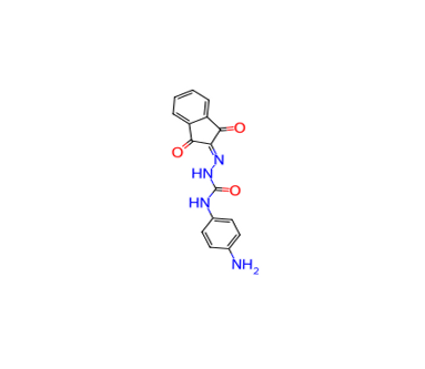 Nc1ccc(NC(=O)NN=c2c(=O)c3ccccc3c2=O)cc1